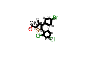 COC(=O)c1sc(-c2ccc(Cl)cc2Cl)c(-c2ccc(Br)cc2)c1C